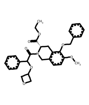 CCOC(=O)[C@@H]1Cc2c(ccc(OC)c2OCc2ccccc2)CN1C(=O)C(OC1COC1)c1ccccc1